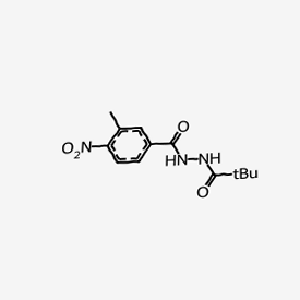 Cc1cc(C(=O)NNC(=O)C(C)(C)C)ccc1[N+](=O)[O-]